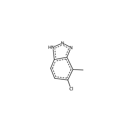 Cc1c(Cl)ccc2[nH]nnc12